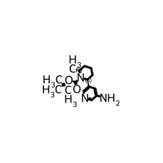 C[C@@H]1CCC[C@@H](c2cncc(N)c2)N1C(=O)OC(C)(C)C